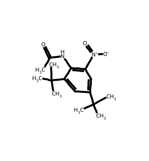 CC(=O)Nc1c([N+](=O)[O-])cc(C(C)(C)C)cc1C(C)(C)C